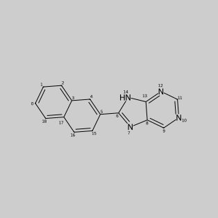 c1ccc2cc(-c3nc4cncnc4[nH]3)ccc2c1